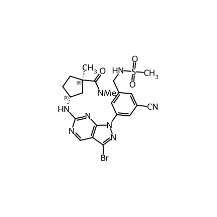 CNC(=O)[C@]1(C)CC[C@@H](Nc2ncc3c(Br)nn(-c4cc(C#N)cc(CNS(C)(=O)=O)c4)c3n2)C1